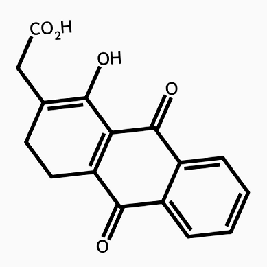 O=C(O)CC1=C(O)C2=C(CC1)C(=O)c1ccccc1C2=O